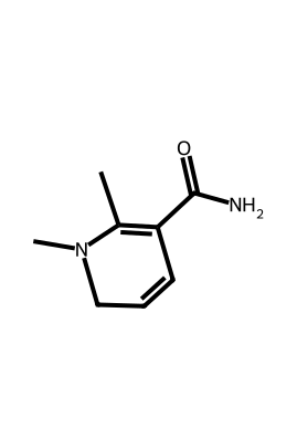 CC1=C(C(N)=O)C=CCN1C